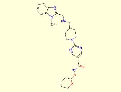 Cn1c(CNCC2CCN(c3ncc(C(=O)NOC4CCCCO4)cn3)CC2)nc2ccccc21